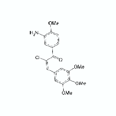 COc1ccc(C(=O)/C(Cl)=C\c2cc(OC)c(OC)c(OC)c2)cc1N